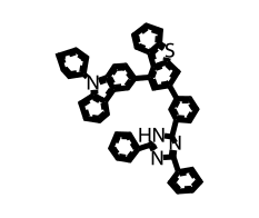 c1ccc(C2=NC(c3cccc(-c4cc(-c5ccc6c(c5)c5ccccc5n6-c5ccccc5)c5c(c4)sc4ccccc45)c3)NC(c3ccccc3)=N2)cc1